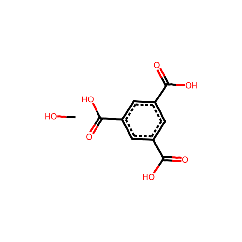 CO.O=C(O)c1cc(C(=O)O)cc(C(=O)O)c1